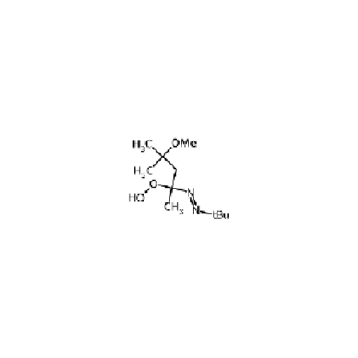 COC(C)(C)CC(C)(/N=N/C(C)(C)C)OO